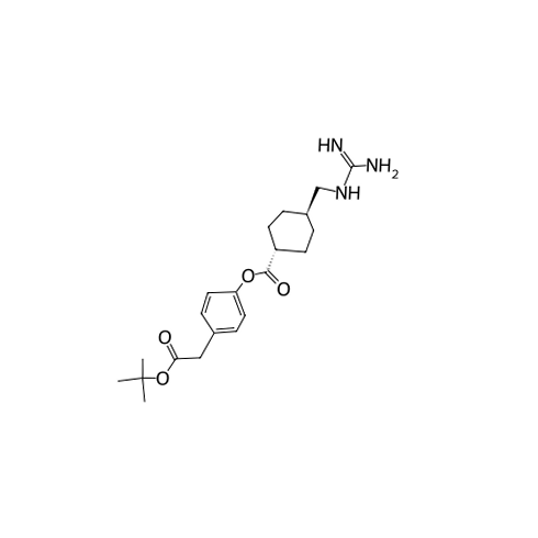 CC(C)(C)OC(=O)Cc1ccc(OC(=O)[C@H]2CC[C@H](CNC(=N)N)CC2)cc1